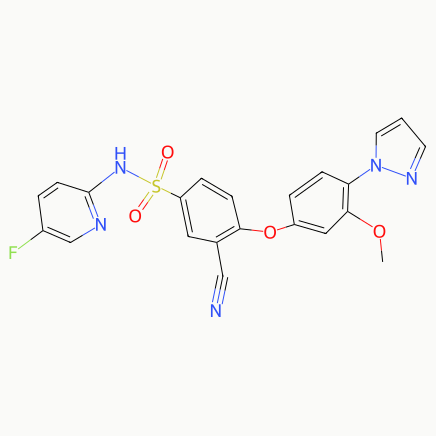 COc1cc(Oc2ccc(S(=O)(=O)Nc3ccc(F)cn3)cc2C#N)ccc1-n1cccn1